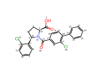 O=C(O)[C@@H]1CC[C@H](c2ccccc2Cl)N1C(=O)c1ccc(-c2ccccc2)c(Cl)c1